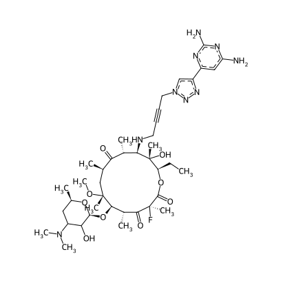 CC[C@H]1OC(=O)[C@@](C)(F)C(=O)[C@H](C)[C@@H](O[C@@H]2O[C@H](C)CC(N(C)C)C2O)[C@](C)(OC)C[C@@H](C)C(=O)[C@H](C)[C@@H](NCC#CCn2cc(-c3cc(N)nc(N)n3)nn2)[C@]1(C)O